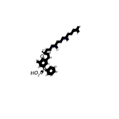 CC(C)=CCC/C(C)=C/CC/C(C)=C/CC[C@]1(C)CCc2cc(N(C(=O)O)c3ccccc3)cc(C)c2O1